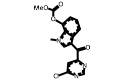 COC(=O)Oc1cccc2c(C(=O)c3cc(Cl)ncn3)cn(C)c12